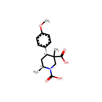 COc1ccc([C@H]2C[C@H](C)N(C(=O)O)CC2(C)C(=O)O)cc1